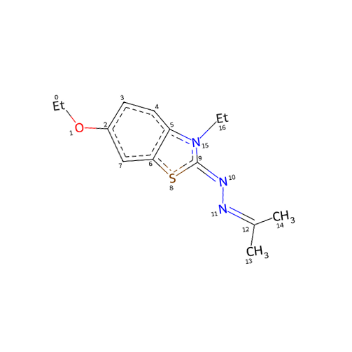 CCOc1ccc2c(c1)sc(=NN=C(C)C)n2CC